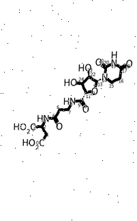 O=C(O)CC(NC(=O)CCNC(=O)[C@H]1O[C@@H](N2CCC(=O)NC2=O)[C@H](O)C1O)C(=O)O